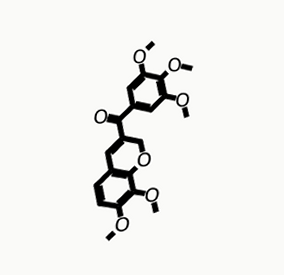 COc1cc(C(=O)C2=Cc3ccc(OC)c(OC)c3OC2)cc(OC)c1OC